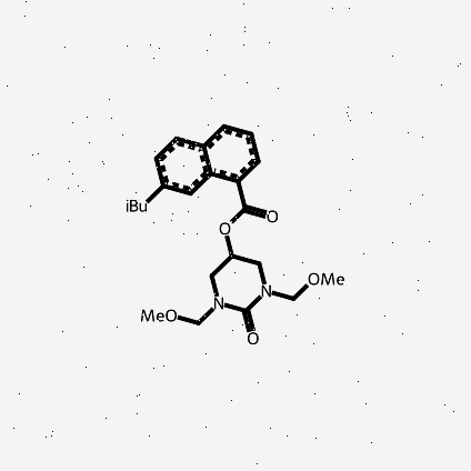 CCC(C)c1ccc2cccc(C(=O)OC3CN(COC)C(=O)N(COC)C3)c2c1